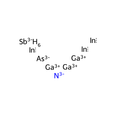 [As-3].[Ga+3].[Ga+3].[Ga+3].[In].[In].[In].[N-3].[SbH6-3]